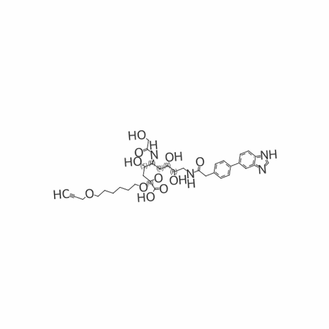 C#CCOCCCCCCO[C@]1(C(=O)O)C[C@H](O)[C@@H](NC(=O)CO)[C@H]([C@H](O)[C@H](O)CNC(=O)Cc2ccc(-c3ccc4[nH]cnc4c3)cc2)O1